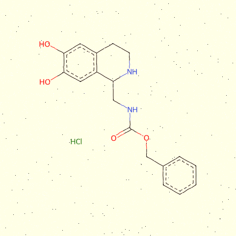 Cl.O=C(NCC1NCCc2cc(O)c(O)cc21)OCc1ccccc1